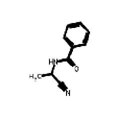 CC(C#N)NC(=O)c1ccccc1